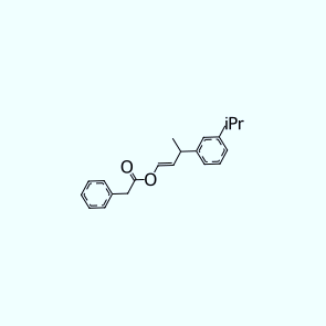 CC(C)c1cccc(C(C)C=COC(=O)Cc2ccccc2)c1